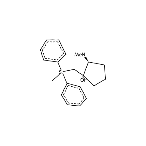 CN[C@H]1CCC[C@@]1(O)C[Si](C)(c1ccccc1)c1ccccc1